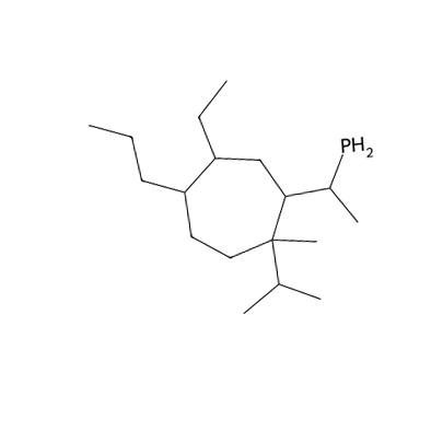 CCCC1CCC(C)(C(C)C)C(C(C)P)CC1CC